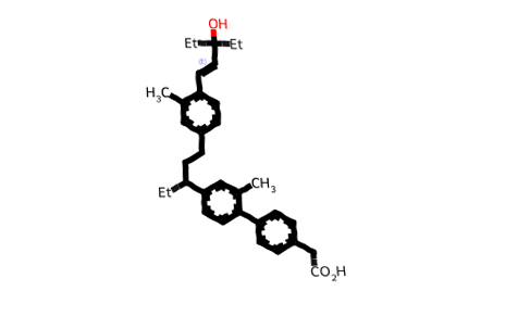 CCC(CCc1ccc(/C=C/C(O)(CC)CC)c(C)c1)c1ccc(-c2ccc(CC(=O)O)cc2)c(C)c1